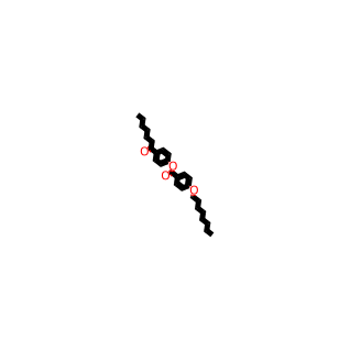 CCCCCCCCOc1ccc(C(=O)Oc2ccc(C(=O)CCCCCC)cc2)cc1